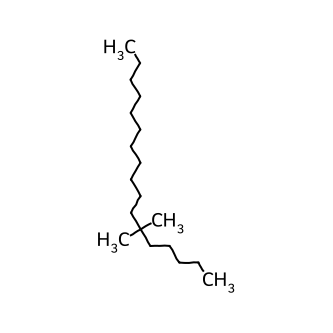 CCCCCCCCCCCC(C)(C)CCCCC